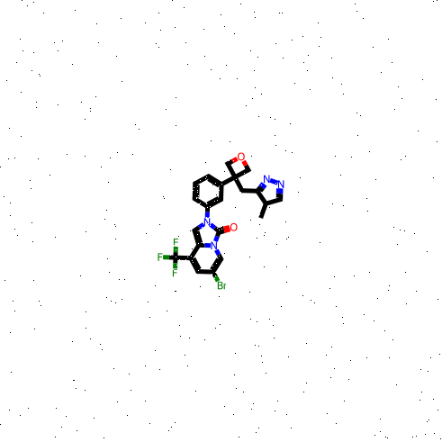 CC1C=NN=C1CC1(c2cccc(-n3cc4c(C(F)(F)F)cc(Br)cn4c3=O)c2)COC1